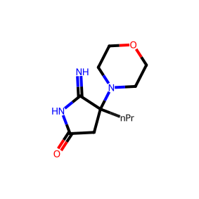 CCCC1(N2CCOCC2)CC(=O)NC1=N